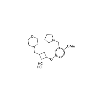 COc1ccc(OC2CC(CN3CCOCC3)C2)cc1CN1CCCC1.Cl.Cl